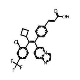 O=C(O)C=Cc1ccc(C(=C(c2ccc(C(F)(F)F)cc2Cl)C2CCC2)c2ccc3nccn3c2)cc1